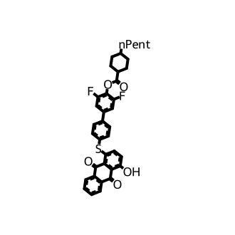 CCCCCC1CCC(C(=O)Oc2c(F)cc(-c3ccc(Sc4ccc(O)c5c4C(=O)c4ccccc4C5=O)cc3)cc2F)CC1